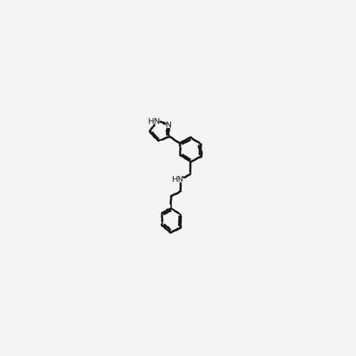 c1ccc(CCNCc2cccc(-c3cc[nH]n3)c2)cc1